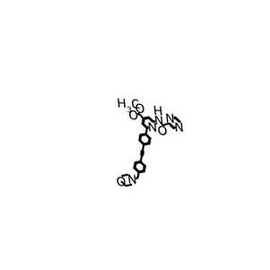 COC(=O)c1cc(NC(=O)c2cnccn2)nc(-c2ccc(C#Cc3ccc(CN4CCOCC4)cc3)cc2)c1